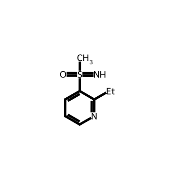 CCc1ncccc1S(C)(=N)=O